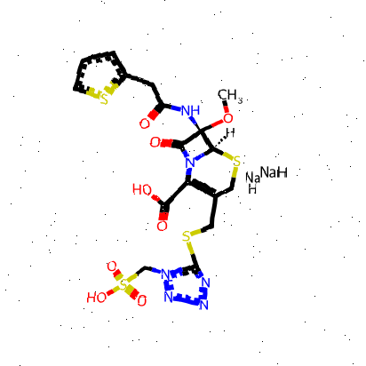 CO[C@@]1(NC(=O)Cc2cccs2)C(=O)N2C(C(=O)O)=C(CSc3nnnn3CS(=O)(=O)O)CS[C@@H]21.[NaH].[NaH]